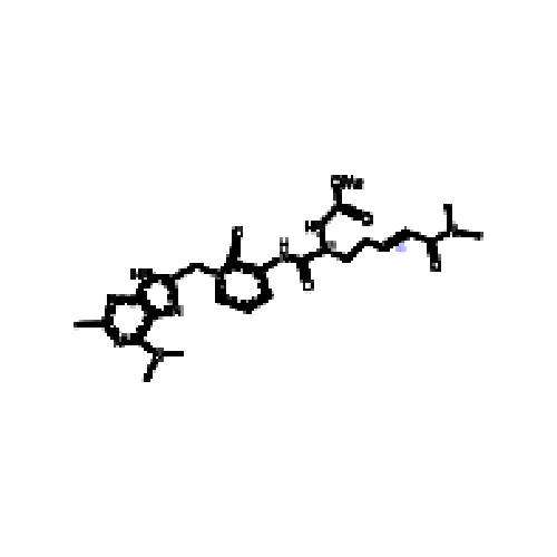 COC(=O)N[C@@H](CC/C=C/C(=O)N(C)C)C(=O)Nc1cccn(Cc2nc3c(N(C)C)nc(C)nc3[nH]2)c1=O